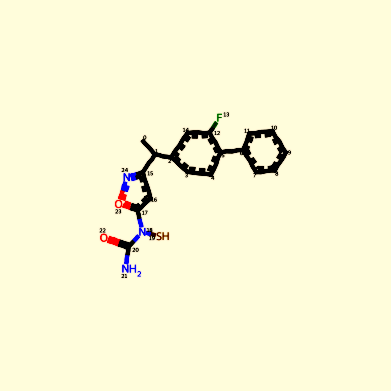 CC(c1ccc(-c2ccccc2)c(F)c1)c1cc(N(S)C(N)=O)on1